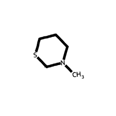 CN1[CH]SCCC1